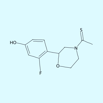 CC(=S)N1CCOC(c2ccc(O)cc2F)C1